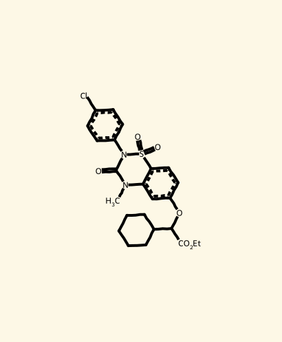 CCOC(=O)C(Oc1ccc2c(c1)N(C)C(=O)N(c1ccc(Cl)cc1)S2(=O)=O)C1CCCCC1